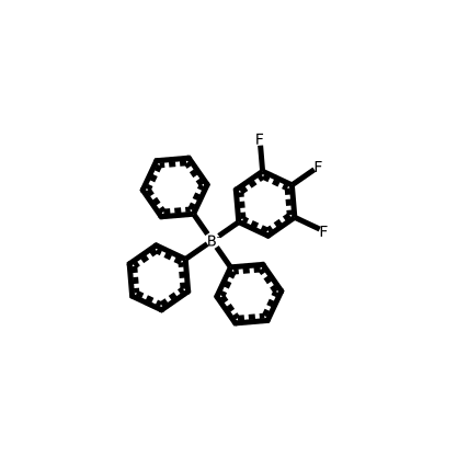 Fc1cc([B-](c2ccccc2)(c2ccccc2)c2ccccc2)cc(F)c1F